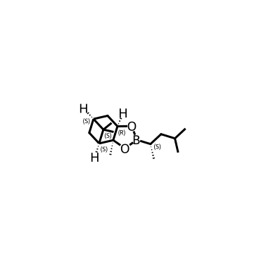 CC(C)C[C@H](C)B1O[C@@H]2C[C@@H]3C[C@@H](C3(C)C)[C@]2(C)O1